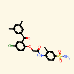 Cc1cc(C)cc(C(=O)c2cc(Cl)ccc2OCC(=O)Nc2ccc(S(N)(=O)=O)cc2C)c1